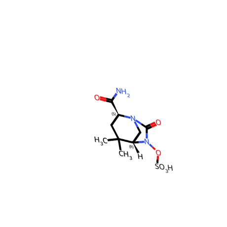 CC1(C)C[C@@H](C(N)=O)N2C[C@@H]1N(OS(=O)(=O)O)C2=O